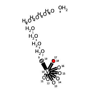 O.O.O.O.O.O.O.O.O.[O]=[V](=[O])(=[O])(=[O])(=[O])(=[O])(=[O])(=[O])(=[O])=[O]